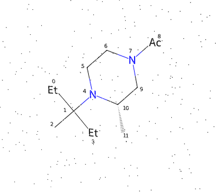 CCC(C)(CC)N1CCN(C(C)=O)C[C@@H]1C